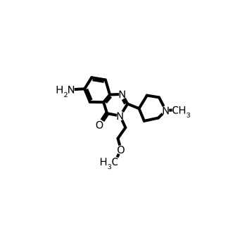 COCCn1c(C2CCN(C)CC2)nc2ccc(N)cc2c1=O